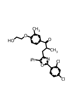 Cc1cc(C(=O)C(C)Cc2nc(-c3ccc(Cl)cc3Cl)oc2C(C)C)ccc1OCCO